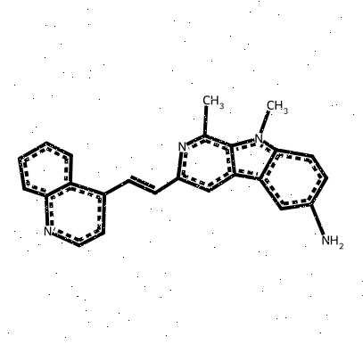 Cc1nc(/C=C/c2ccnc3ccccc23)cc2c3cc(N)ccc3n(C)c12